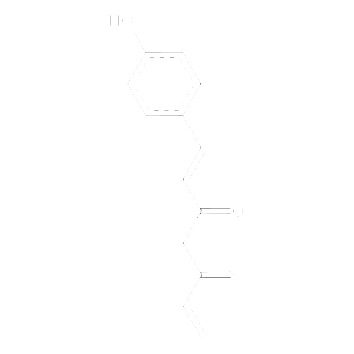 [CH]=CC(=O)CC(=O)/C=C/c1ccc(O)cc1